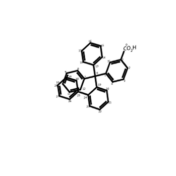 O=C(O)c1cccc(C(c2ccccc2)(c2ccccc2)c2ccccc2-c2ccccc2)c1